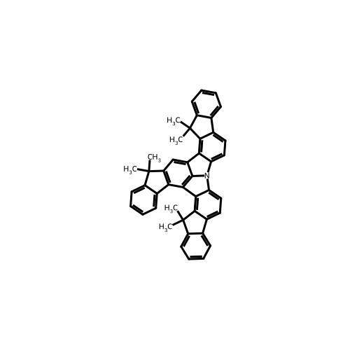 CC1(C)c2ccccc2-c2c1cc1c3c4c(ccc3n3c5ccc6c(c5c2c13)C(C)(C)c1ccccc1-6)-c1ccccc1C4(C)C